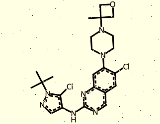 CC1(N2CCN(c3cc4nc(Nc5cnn(C(C)(C)C)c5Cl)ncc4cc3Cl)CC2)COC1